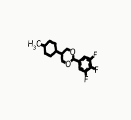 CC1CCC(C2COC(c3cc(F)c(F)c(F)c3)OC2)CC1